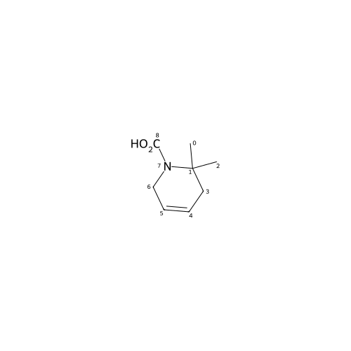 CC1(C)CC=CCN1C(=O)O